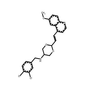 COc1ccc2nccc(/C=C/C3OCC(NCc4ccc(Cl)c(Cl)c4)CO3)c2c1